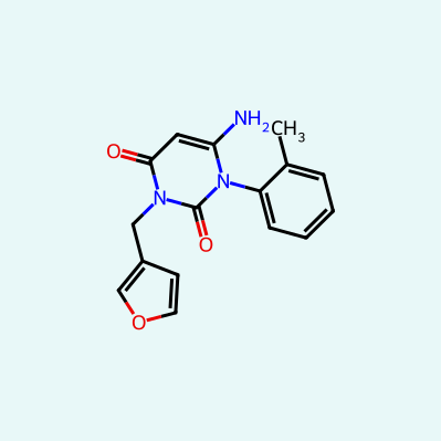 Cc1ccccc1-n1c(N)cc(=O)n(Cc2ccoc2)c1=O